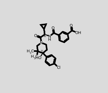 CC1(C)CN(C(=O)[C@H](NC(=O)c2cccc(C(=O)O)c2)C2CC2)CC[C@]1(O)c1ccc(Cl)cc1